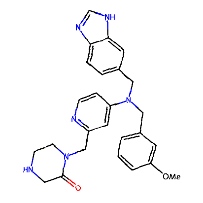 COc1cccc(CN(Cc2ccc3nc[nH]c3c2)c2ccnc(CN3CCNCC3=O)c2)c1